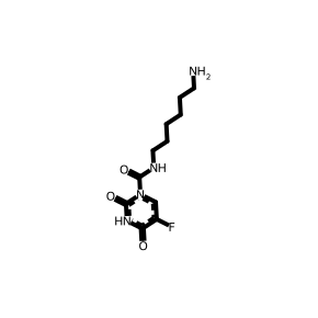 NCCCCCCNC(=O)n1cc(F)c(=O)[nH]c1=O